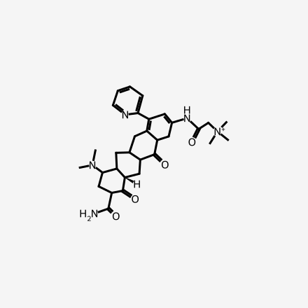 CN(C)C1CC(C(N)=O)C(=O)[C@H]2CC3C(=O)C4CC(NC(=O)C[N+](C)(C)C)=CC(c5ccccn5)=C4CC3CC12